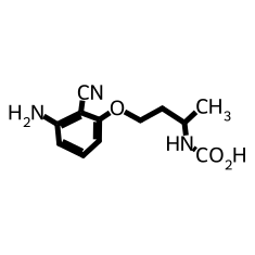 CC(CCOc1cccc(N)c1C#N)NC(=O)O